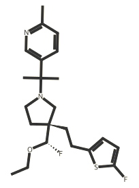 CCO[C@@H](F)[C@]1(CCc2ccc(F)s2)CCN(C(C)(C)c2ccc(C)nc2)C1